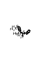 C=C/C=C\c1cc(/C(C=C)=C/C(/C=C(\C)c2ccc3ccccc3c2)=C(\C)C=C)ccc1C=C